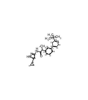 CC(C(=O)Nc1cc(C2CC2)[nH]n1)c1cccc(C2=CCN=C(C(C)(C)C)C2)c1